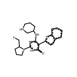 O=c1[nH]c(N2CCCC2CF)nc(NC2CCCNC2)c1-c1ccc2ccccc2n1